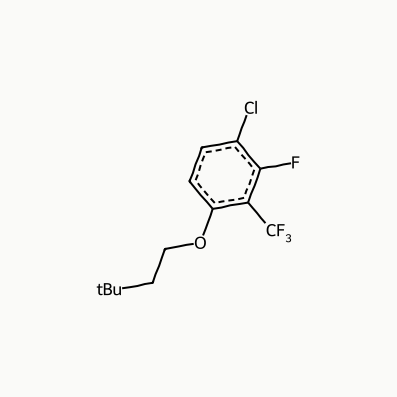 CC(C)(C)CCOc1ccc(Cl)c(F)c1C(F)(F)F